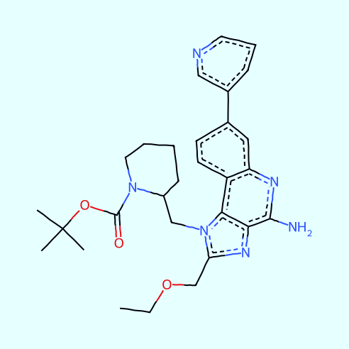 CCOCc1nc2c(N)nc3cc(-c4cccnc4)ccc3c2n1CC1CCCCN1C(=O)OC(C)(C)C